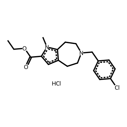 CCOC(=O)c1cc2c(n1C)CCN(Cc1ccc(Cl)cc1)CC2.Cl